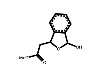 COC(=O)CC1OC(O)c2ccccc21